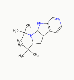 CC(C)(C)C1CC2c3ccncc3NC2N1C(C)(C)C